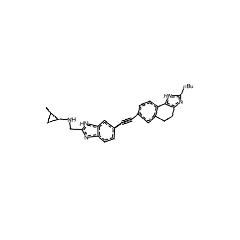 CCCCc1nc2c([nH]1)-c1ccc(C#Cc3ccc4nc(CNC5CC5C)[nH]c4c3)cc1CC2